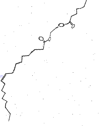 CCCCCCCC/C=C\CCCCCCCC(=O)OCCOC(=O)CCCCC